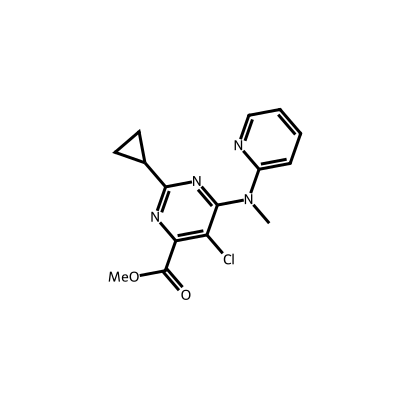 COC(=O)c1nc(C2CC2)nc(N(C)c2ccccn2)c1Cl